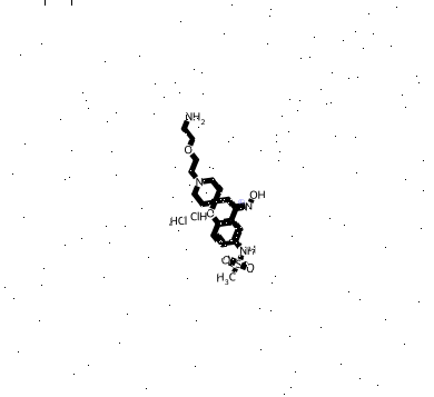 CS(=O)(=O)Nc1ccc2c(c1)/C(=N/O)CC1(CCN(CCOCCN)CC1)O2.Cl.Cl